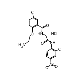 Cl.NCCOc1ccc(Cl)cc1C(=O)NCC(=O)Nc1ccc([N+](=O)[O-])cc1Cl